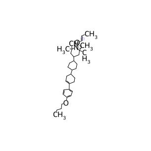 C/C=C/ON1C(C)(C)CC(C2CCC(C3CC=C(c4ccc(OCCCC)cc4)CC3)CC2)CC1(C)C